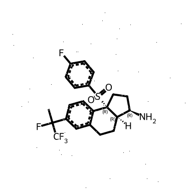 CC(F)(c1ccc2c(c1)CC[C@@H]1[C@H](N)CC[C@]21S(=O)(=O)c1ccc(F)cc1)C(F)(F)F